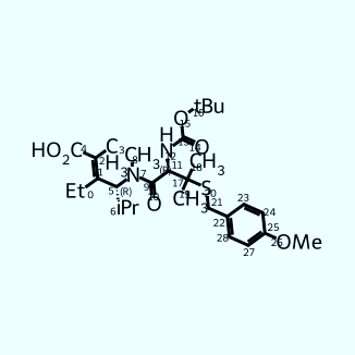 CCC(=C(C)C(=O)O)[C@@H](C(C)C)N(C)C(=O)[C@@H](NC(=O)OC(C)(C)C)C(C)(C)SCc1ccc(OC)cc1